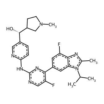 Cc1nc2c(F)cc(-c3nc(Nc4ccc([C@H](O)C5CCN(C)C5)cn4)ncc3F)cc2n1C(C)C